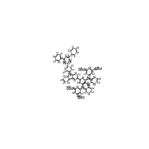 Cc1cc(-c2nc(-c3ccccc3)cc(-c3ccccc3)n2)ccc1-n1c2ccccc2c2cc(-c3cc4c5c(c3)N(c3cc(C(C)(C)C)cc(C(C)(C)C)c3)c3ccccc3B5c3ccccc3N4c3cc(C(C)(C)C)cc(C(C)(C)C)c3)ccc21